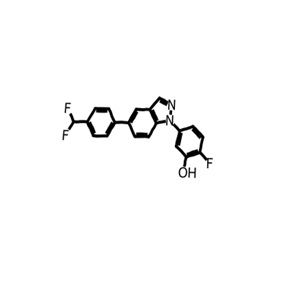 Oc1cc(-n2ncc3cc(-c4ccc(C(F)F)cc4)ccc32)ccc1F